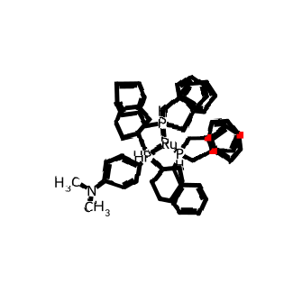 CN(C)c1ccc([PH](C2CCCCC2)(C2CCCCC2)[Ru]([PH](Cc2ccccc2)(Cc2ccccc2)Cc2ccccc2)[PH](Cc2ccccc2)(Cc2ccccc2)Cc2ccccc2)cc1